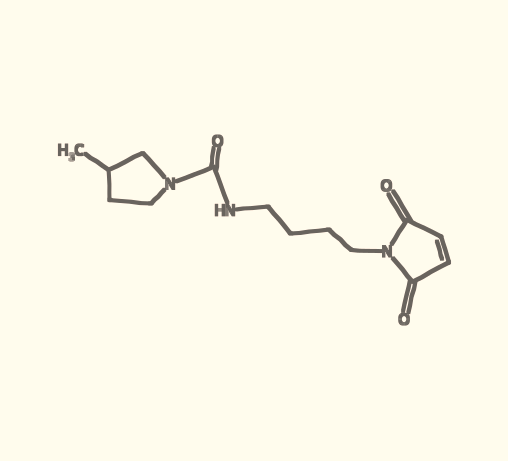 CC1CCN(C(=O)NCCCCN2C(=O)C=CC2=O)C1